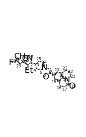 CCc1c(C2CCN(CC(=O)c3cc4c5c(c3)CCC(=O)N5CCC4)CC2)noc1/C=C(\C)F